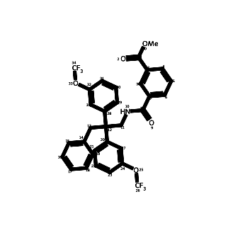 COC(=O)c1cccc(C(=O)NCC(Cc2ccccc2)(c2cccc(OC(F)(F)F)c2)c2cccc(OC(F)(F)F)c2)c1